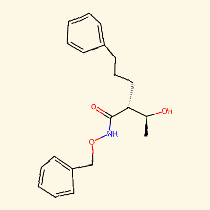 C[C@H](O)[C@@H](CCCc1ccccc1)C(=O)NOCc1ccccc1